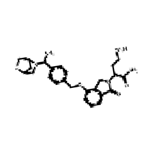 CC(c1ccc(COc2cccc3c2CN(C(CCC(=O)O)C(N)=O)C3=O)cc1)N1CC2CC1CO2